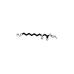 CCCCCCCCNCC(=O)OC